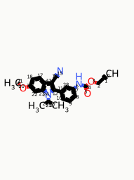 C#CCOC(=O)Nc1cccc(-c2c(C#N)c3ccc(OC)cc3n2C(C)C)c1